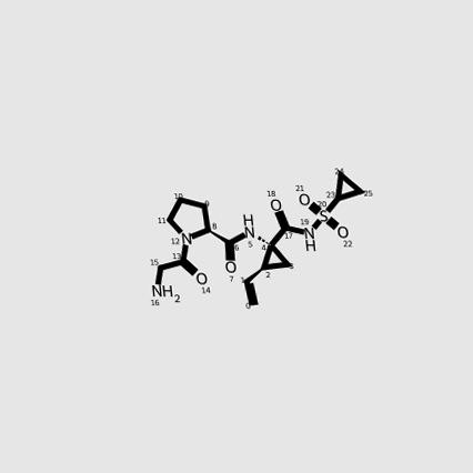 C=C[C@@H]1C[C@]1(NC(=O)[C@@H]1CCCN1C(=O)CN)C(=O)NS(=O)(=O)C1CC1